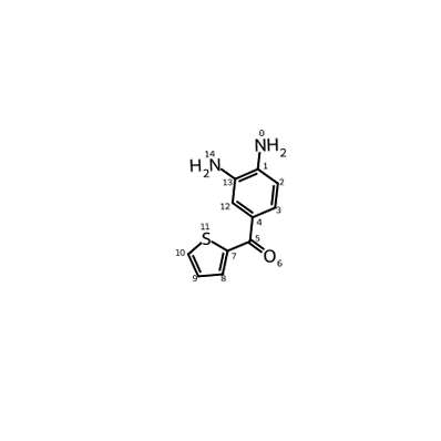 Nc1ccc(C(=O)c2cccs2)cc1N